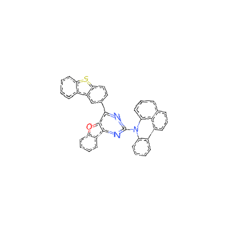 c1ccc2c(c1)-c1cccc3cccc(c13)N2c1nc(-c2ccc3sc4ccccc4c3c2)c2oc3ccccc3c2n1